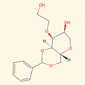 OCCO[C@@H]1[C@@H]2OC(c3ccccc3)OC[C@H]2OC[C@@H]1O